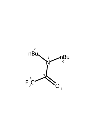 CCCCN(CCCC)C(=O)C(F)(F)F